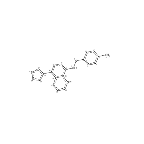 Cc1ccc(SNc2ccc(-c3ccsc3)c3cccnc23)cc1